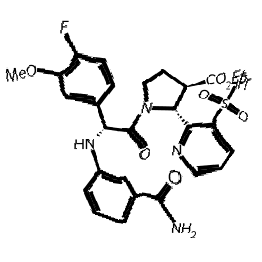 CCOC(=O)[C@@H]1CCN(C(=O)[C@H](Nc2cccc(C(N)=O)c2)c2ccc(F)c(OC)c2)[C@H]1c1ncccc1S(=O)(=O)C(C)C